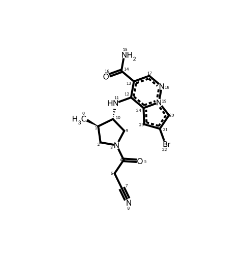 C[C@@H]1CN(C(=O)CC#N)C[C@H]1Nc1c(C(N)=O)cnn2cc(Br)cc12